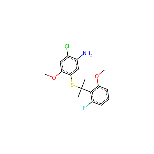 COc1cc(Cl)c(N)cc1SC(C)(C)c1c(F)cccc1OC